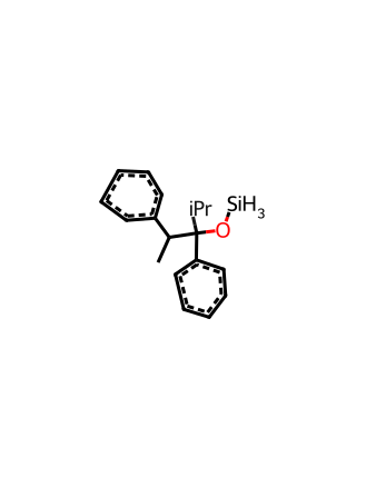 CC(C)C(O[SiH3])(c1ccccc1)C(C)c1ccccc1